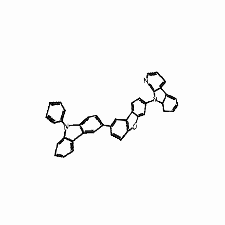 C1=CCC2C(=C1)c1cccnc1N2c1ccc2c(c1)oc1ccc(-c3ccc4c(c3)c3ccccc3n4-c3ccccc3)cc12